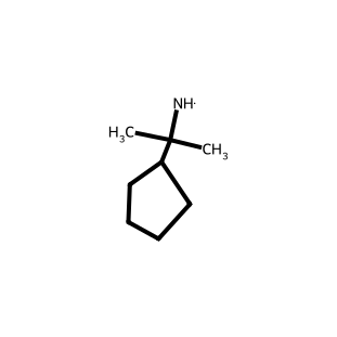 CC(C)([NH])C1CCCC1